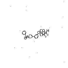 CC(C)(Oc1cccc(C2=CCN(C(=O)c3ccccc3)CC2)c1)C(=O)O